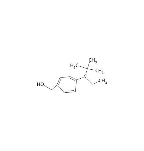 CCN(c1ccc(CO)cc1)C(C)(C)C